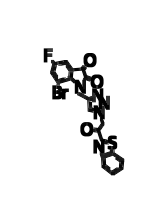 O=C(Cn1cc(CN2C(=O)C(=O)c3cc(F)cc(Br)c32)nn1)c1nc2ccccc2s1